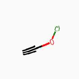 C#COCl